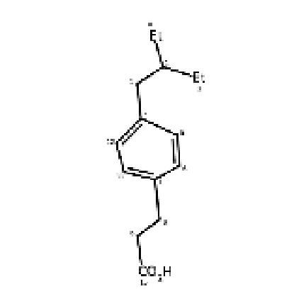 CCC(CC)Cc1ccc(CCC(=O)O)cc1